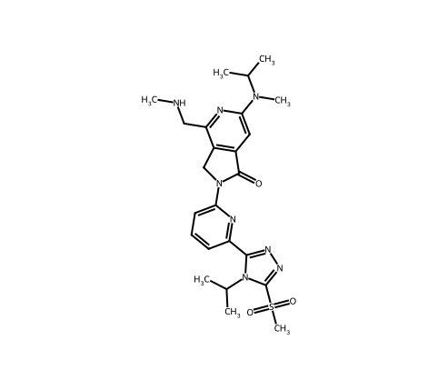 CNCc1nc(N(C)C(C)C)cc2c1CN(c1cccc(-c3nnc(S(C)(=O)=O)n3C(C)C)n1)C2=O